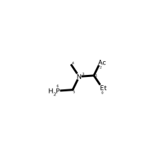 CCC(C(C)=O)N(C)CP